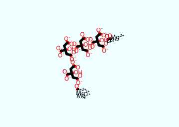 O=C([O-])CC(O)(CC(=O)[O-])C(=O)[O-].O=C([O-])CC(O)(CC(=O)[O-])C(=O)[O-].O=C([O-])CC(O)(CC(=O)[O-])C(=O)[O-].O=C([O-])CC(O)(CC(=O)[O-])C(=O)[O-].[Mg+2].[Mg+2].[Mg+2].[O]=[Zr+2].[O]=[Zr+2].[O]=[Zr+2]